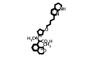 C[C@@H]1OCCc2cccc(C(C(=O)O)N(C)[C@H]3CC[C@H](OCCCCc4ccc5c(n4)NCCC5)C3)c21